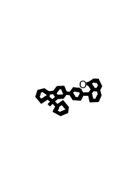 CC1(c2ccccc2)c2ccccc2-c2ccc(-c3ccc4c(c3)Oc3cccc5cccc-4c35)cc21